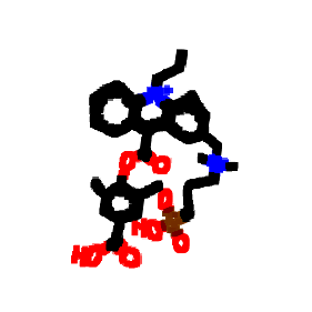 CCC[n+]1c2ccccc2c(C(=O)Oc2c(C)cc(C(=O)O)cc2C)c2cc(C[N+](C)(C)CCCS(=O)(=O)O)ccc21